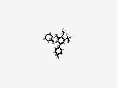 [C-]#[N+]c1c(C(F)(F)F)cc(-c2ccc(Cl)cc2)n(N=C2CCCCC2)c1=O